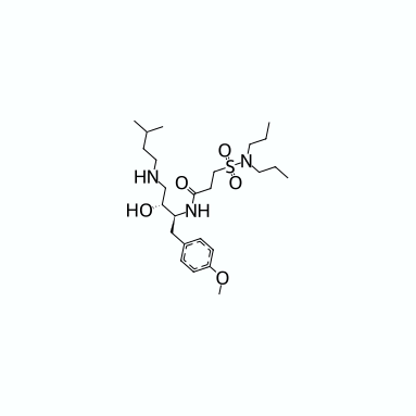 CCCN(CCC)S(=O)(=O)CCC(=O)N[C@@H](Cc1ccc(OC)cc1)[C@H](O)CNCCC(C)C